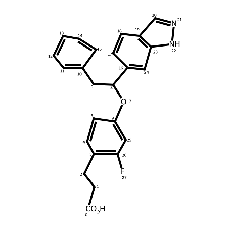 O=C(O)CCc1ccc(OC(Cc2ccccc2)c2ccc3cn[nH]c3c2)cc1F